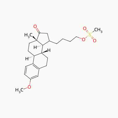 COc1ccc2c(c1)CC[C@@H]1[C@@H]2CC[C@]2(C)C(=O)CC(CCCCOS(C)(=O)=O)[C@@H]12